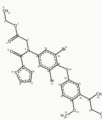 CCOC(=O)CN(C(=O)c1cccs1)c1cc(Br)c(Oc2ccc(OC)c(C(C)CC)c2)c(Br)c1